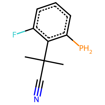 CC(C)(C#N)c1c(F)cccc1P